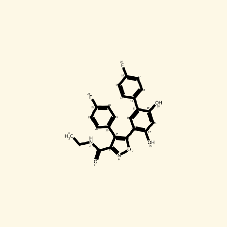 CCNC(=O)c1noc(-c2cc(-c3ccc(F)cc3)c(O)cc2O)c1-c1ccc(F)cc1